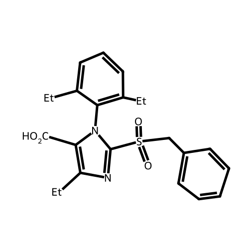 CCc1cccc(CC)c1-n1c(S(=O)(=O)Cc2ccccc2)nc(CC)c1C(=O)O